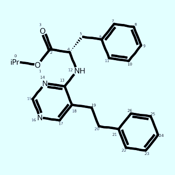 CC(C)OC(=O)[C@H](Cc1ccccc1)Nc1ncncc1CCc1ccccc1